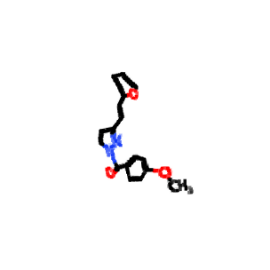 COc1ccc(C(=O)n2ccc(/C=C/c3ccco3)n2)cc1